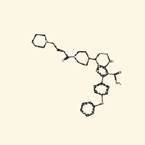 NC(=O)c1c(-c2ccc(Oc3ccccc3)cc2)nn2c1NCCC2C1CCN(C(=O)C=CCN2CCCCC2)CC1